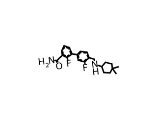 CC1(C)CCC(NCc2ccc(-c3cccc(C(N)=O)c3F)cc2F)CC1